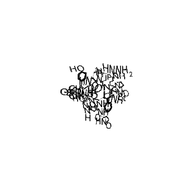 CC(=O)O.CCNC(=O)[C@@H]1CCCN1C(=O)[C@H](CCCNC(=N)N)NC(=O)[C@H](CC(C)C)NC(=O)[C@@H](CC(C)C)NC(=O)[C@H](Cc1ccc(O)cc1)NC(=O)[C@H](CO)NC(=O)[C@H](Cc1c[nH]c2ccccc12)NC(=O)[C@H](Cc1cnc[nH]1)NC(=O)[C@@H]1CCC(=O)N1.C[S+](C)[O-]